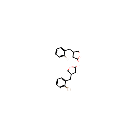 Brc1ccccc1CC1COC(OC2CC(Cc3ccccc3Br)CO2)C1